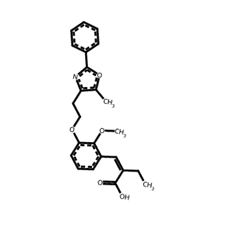 CCC(=Cc1cccc(OCCc2nc(-c3ccccc3)oc2C)c1OC)C(=O)O